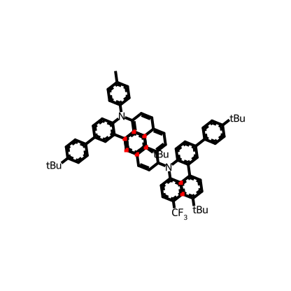 Cc1ccc(N(C2=C3C=CC4=C5C(=CC=C(C=C2)C35)C(N(c2ccc(C(F)(F)F)cc2)c2ccc(-c3ccc(C(C)(C)C)cc3)cc2-c2ccc(C(C)(C)C)cc2)C=C4)c2ccc(-c3ccc(C(C)(C)C)cc3)cc2-c2ccc(C(C)(C)C)cc2)cc1